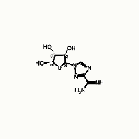 N=C(N)c1ncn([C@H]2O[C@@H](O)[C@H](O)[C@@H]2O)n1